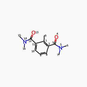 Cc1c(C(=O)N(C)C)cccc1C(=O)N(C)C